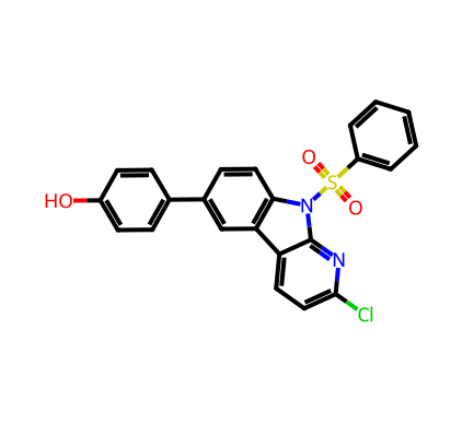 O=S(=O)(c1ccccc1)n1c2ccc(-c3ccc(O)cc3)cc2c2ccc(Cl)nc21